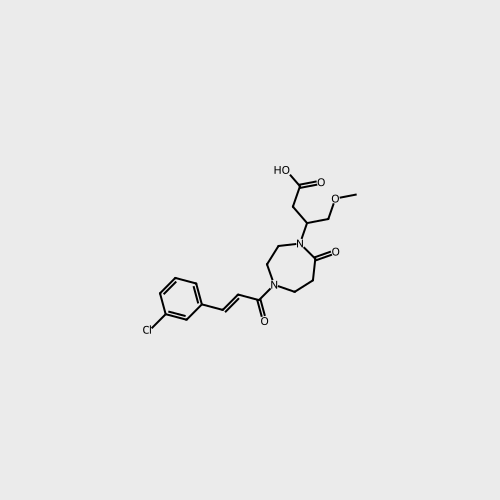 COCC(CC(=O)O)N1CCN(C(=O)C=Cc2cccc(Cl)c2)CCC1=O